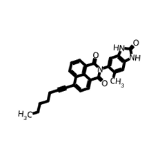 CCCCCC#Cc1ccc2c3c(cccc13)C(=O)N(c1cc3[nH]c(=O)[nH]c3cc1C)C2=O